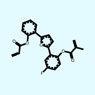 C=CC(=O)Oc1ccccc1-c1ccc(-c2cc(F)ccc2OC(=O)C(=C)C)o1